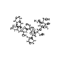 CC(C)CC(COC(C)CN(C)C(COC(CN(C)C(COC(C)CN(C)C(CO)CC(C)C)CC(C)C)N1CCOCC1)CC(C)C)N(C)CCN1CCOCC1